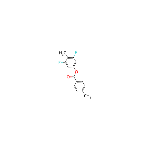 Cc1ccc(C(=O)Oc2cc(F)c(C)c(F)c2)cc1